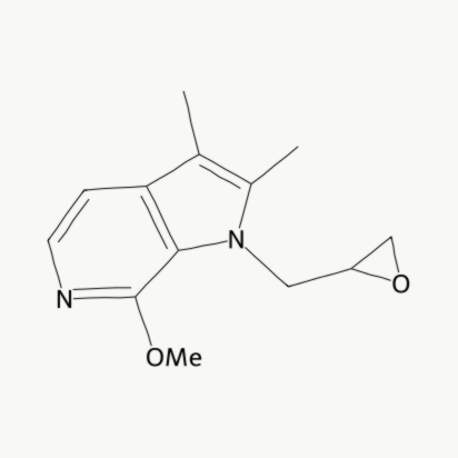 COc1nccc2c(C)c(C)n(CC3CO3)c12